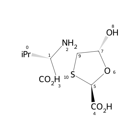 CC(C)[C@H](N)C(=O)O.O=C(O)[C@@H]1O[C@@H](O)CS1